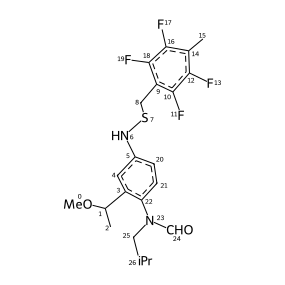 COC(C)c1cc(NSCc2c(F)c(F)c(C)c(F)c2F)ccc1N(C=O)CC(C)C